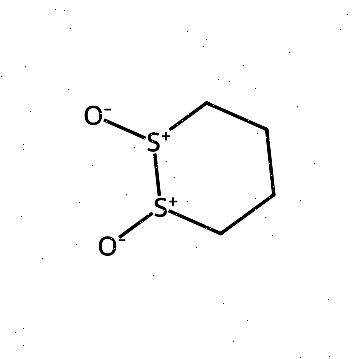 [O-][S+]1CCCC[S+]1[O-]